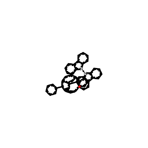 c1ccc(-c2c3ccc4cc3c(-c3ccccc3)c3ccc(cc23)c2ccc3c5ccccc5n(-n5c6ccccc6c6ccccc65)c3c42)cc1